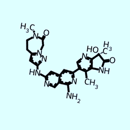 Cc1c(-c2cc3cc(Nc4cc5n(n4)CC(=O)N(C)CC5)ncc3c(N)n2)cnc2c1NC(=O)[C@]2(C)O